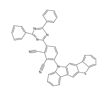 N#Cc1c(-c2nc(-c3ccccc3)nc(-c3ccccc3)n2)ccc(-n2c3ccccc3c3cc4sc5ccccc5c4cc32)c1C#N